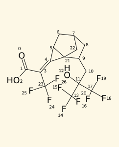 O=C(O)C(=C1C2CC3CC(CC(O)(C(F)(F)F)C(F)(F)F)C12C3)C(F)(F)F